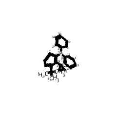 CC(C)(C)c1cccc(P(c2ccccc2)c2ccccc2)c1C1(C)CC1